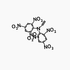 C#CN(c1c([N+](=O)[O-])cc([N+](=O)[O-])cc1[N+](=O)[O-])c1c([N+](=O)[O-])cc([N+](=O)[O-])cc1[N+](=O)[O-]